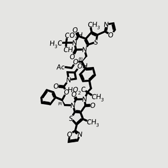 CC(=O)CO[C@@H](Cn1c(=O)n(C(C)(C)C(=O)O)c(=O)c2c(C)c(-c3ncco3)sc21)c1ccc(CC(C)(C(=O)O)n2c(=O)c3c(C)c(-c4ncco4)sc3n(C[C@H](OC(=O)N3CC(O)C3)c3ccccc3)c2=O)cc1